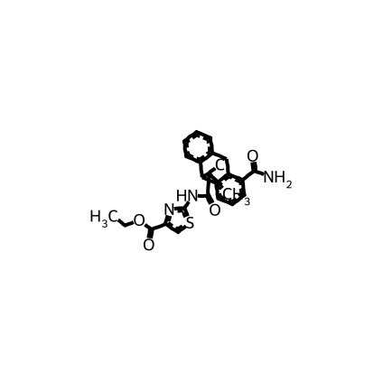 CCOC(=O)c1csc(NC(=O)C2(C)CC3c4ccccc4C2c2cccc(C(N)=O)c23)n1